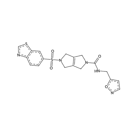 O=C(NCc1ccno1)N1CC2=C(C1)CN(S(=O)(=O)c1ccc3ncsc3c1)C2